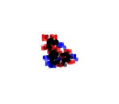 NCC1O[C@@H](O[C@H]2C(N)C[C@H](NCc3c[nH]nn3)C(OC3O[C@@H](CO)C(O)[C@H](N)[C@@H]3O)[C@@H]2O)C(O)[C@H](O)[C@H]1O